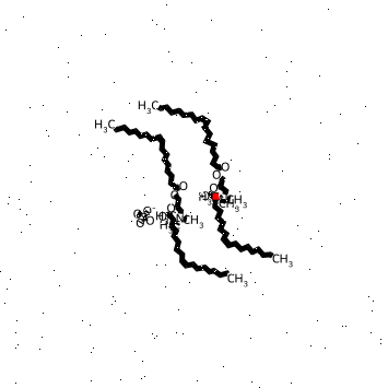 CCCCCCCC/C=C\CCCCCCCC(=O)OCC(C[N+](C)(C)C)OC(=O)CCCCCCC/C=C\CCCCCCCC.CCCCCCCC/C=C\CCCCCCCC(=O)OCC(C[N+](C)(C)C)OC(=O)CCCCCCC/C=C\CCCCCCCC.O=S(=O)([O-])[O-]